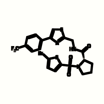 O=C(NCc1nc(-c2ccc(C(F)(F)F)cc2)cs1)[C@@H]1CCCN1S(=O)(=O)c1ccc(Br)s1